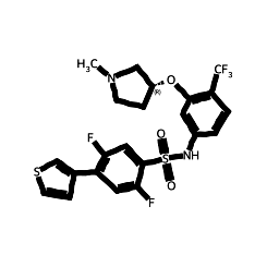 CN1CC[C@@H](Oc2cc(NS(=O)(=O)c3cc(F)c(-c4ccsc4)cc3F)ccc2C(F)(F)F)C1